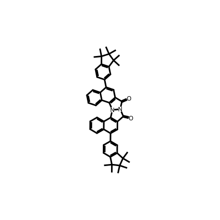 CC1(C)c2ccc(-c3cc4c(=O)n5c(=O)c6cc(-c7ccc8c(c7)C(C)(C)C(C)(C)C8(C)C)c7ccccc7c6n5c4c4ccccc34)cc2C(C)(C)C1(C)C